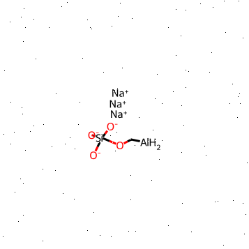 [Na+].[Na+].[Na+].[O-][Si]([O-])([O-])O[CH2][AlH2]